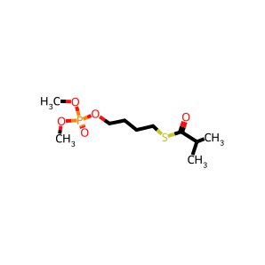 COP(=O)(OC)OCCCCSC(=O)C(C)C